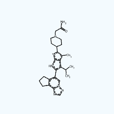 Cc1c(C2CCN(CC(N)=O)CC2)sc2[nH]c(-c3cn4ncnc4c4c3CCC4)c(C(C)C)c12